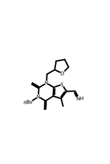 C=C1c2c(sc(C=N)c2C)N(CC2CCCO2)C(=C)N1CCCC